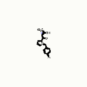 CC(=O)c1ccc(Cn2cccc2C(=O)/C=C(\O)C(=O)O)cc1